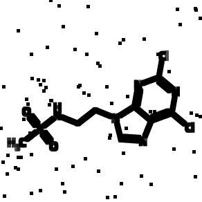 CS(=O)(=O)NCCn1cnc2c(Cl)nc(Cl)nc21